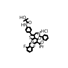 CC(C)C(=O)c1cn(Cc2c(F)cccc2F)c2sc(-c3ccc(NC(=O)C(C)(C)O)cc3)c(CN(C)Cc3ccccc3)c2c1=O.Cl